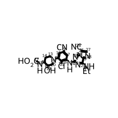 CCNc1nc(Nc2cc(C#N)cc(N3CC[C@@H](NC(=O)O)[C@@H](O)C3)c2Cl)nn2c(C#N)cnc12